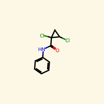 O=C(Nc1ccccc1)C1(Cl)CC1Cl